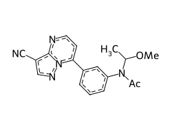 COC(C)N(C(C)=O)c1cccc(-c2ccnc3c(C#N)cnn23)c1